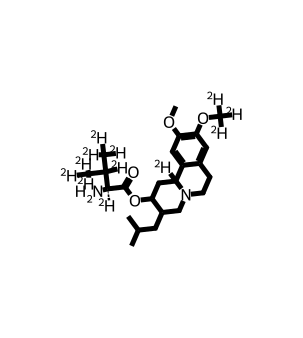 [2H]C([2H])([2H])Oc1cc2c(cc1OC)C1([2H])CC(OC(=O)[C@@]([2H])(N)C([2H])(C([2H])([2H])[2H])C([2H])([2H])[2H])C(CC(C)C)CN1CC2